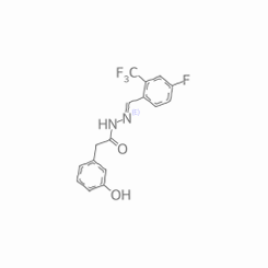 O=C(Cc1cccc(O)c1)N/N=C/c1ccc(F)cc1C(F)(F)F